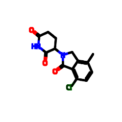 Cc1ccc(Cl)c2c1CN(C1CCC(=O)NC1=O)C2=O